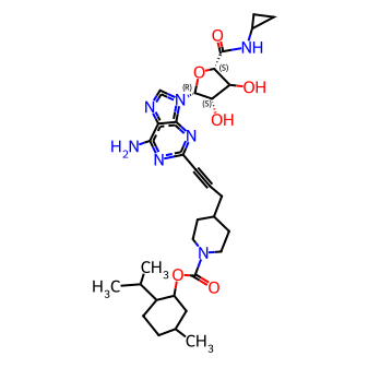 CC1CCC(C(C)C)C(OC(=O)N2CCC(CC#Cc3nc(N)c4ncn([C@@H]5O[C@H](C(=O)NC6CC6)C(O)[C@@H]5O)c4n3)CC2)C1